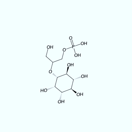 O=P(O)(O)OCC(CO)O[C@@H]1[C@@H](O)[C@H](O)[C@@H](O)[C@H](O)[C@@H]1O